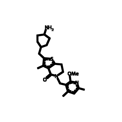 COc1nc(C)cc(C)c1CN1CCc2sc(CC3CCC(N)CC3)c(C)c2C1=O